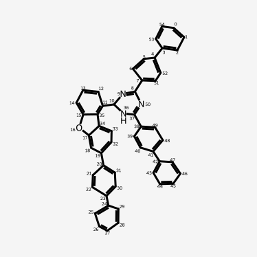 c1ccc(-c2ccc(C3=NC(c4cccc5oc6cc(-c7ccc(-c8ccccc8)cc7)ccc6c45)NC(c4ccc(-c5ccccc5)cc4)=N3)cc2)cc1